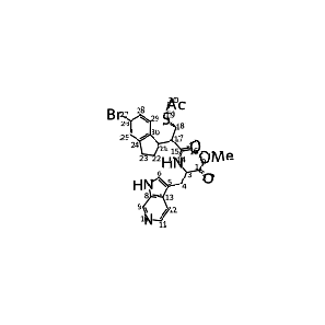 COC(=O)C(Cc1c[nH]c2cnccc12)NC(=O)C(CSC(C)=O)C1CCc2cc(Br)ccc21